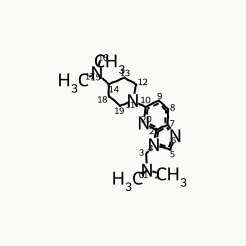 CN(C)Cn1cnc2ccc(N3CCC(N(C)C)CC3)nc21